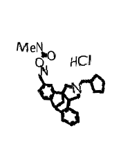 CNC(=O)ON=Cc1ccc2c(c1)C13CC2c2ccccc2C1CN(CC1CCCC1)C3.Cl